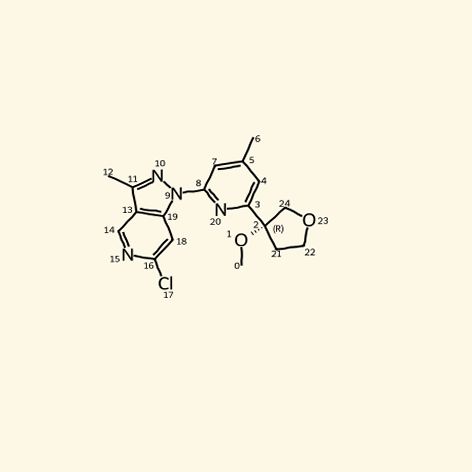 CO[C@@]1(c2cc(C)cc(-n3nc(C)c4cnc(Cl)cc43)n2)CCOC1